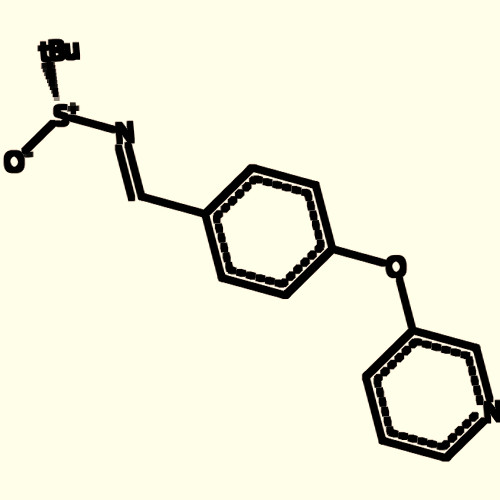 CC(C)(C)[S@@+]([O-])N=Cc1ccc(Oc2cccnc2)cc1